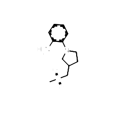 CS(=O)(=O)CC1CCN(c2ccccc2N)C1